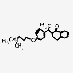 CC(c1ccc(OCCCN(C)C)cc1)C1CCc2ccccc2C1=O